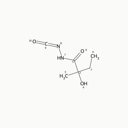 CCC(C)(O)C(=O)NN=C=O